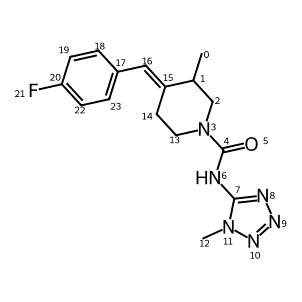 CC1CN(C(=O)Nc2nnnn2C)CCC1=Cc1ccc(F)cc1